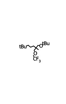 CC(C)(C)CCCC(C)(COCC(F)(F)F)COC(C)(C)C